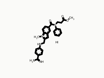 COC(=O)CCN(C(=O)c1ccc2c(c1)cc(CNc1ccc(C(=N)N)cc1)n2C)c1ccccc1.I